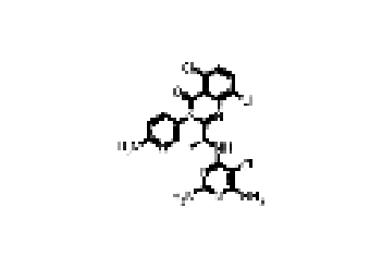 C[C@H](Nc1nc(N)nc(N)c1Cl)c1nc2c(Cl)ccc(Cl)c2c(=O)n1-c1ccc(N)nc1